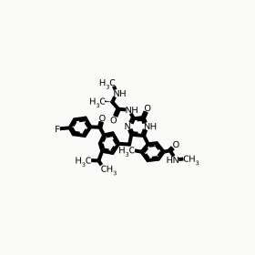 CNC(=O)c1ccc(C)c(-c2[nH]c(=O)c(NC(=O)[C@H](C)NC)nc2Cc2cc(C(=O)c3ccc(F)cc3)cc(C(C)C)c2)c1